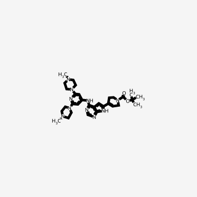 CN1CCN(c2cc(Nc3ncnc4[nH]c(C5=CCN(C(=O)OC(C)(C)C)CC5)cc34)cc(N3CCN(C)CC3)n2)CC1